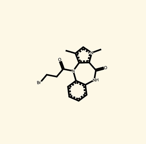 Cc1cn(C)c2c1N(C(=O)CCBr)c1ccccc1NC2=O